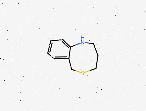 c1ccc2c(c1)CSCCCN2